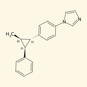 C[C@@H]1[C@H](c2ccccc2)[C@H]1c1ccc(-n2ccnc2)cc1